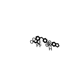 O=c1cc(C(F)(F)F)c2cc(Cc3ccc(S(=O)(=O)Nc4ccc5c(c4)CCC5)cc3)ccc2o1